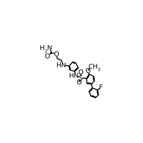 COc1ccc(-c2ccccc2F)cc1S(=O)(=O)Nc1cccc(NCCOC(N)=O)c1